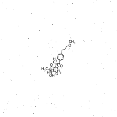 CNC(=O)[C@@](C)(C(=O)NO)N(C)C(=O)c1ccc(CCCOC)cc1